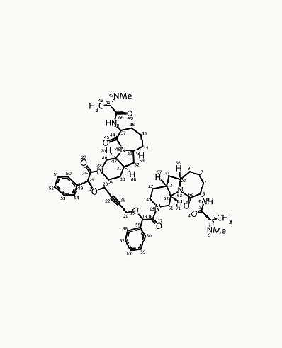 CN[C@@H](C)C(=O)N[C@H]1CCC[C@H]2C[C@H]3CCN(C(=O)C(OCC#CCOC(C(=O)N4CC[C@@H]5C[C@@H]6CCC[C@H](NC(=O)[C@H](C)NC)C(=O)N6[C@@H]5C4)c4ccccc4)c4ccccc4)C[C@H]3N2C1=O